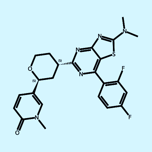 CN(C)c1nc2nc([C@H]3CCO[C@H](c4ccc(=O)n(C)c4)C3)nc(-c3ccc(F)cc3F)c2s1